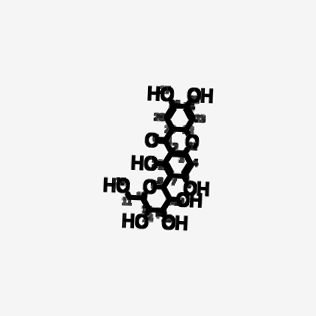 O=C1c2c(cc(O)c(C3OC(CO)C(O)[C@H](O)C3O)c2O)OC2C=C(O)C(O)=CC12